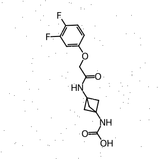 O=C(O)NC12CC(NC(=O)COc3ccc(F)c(F)c3)(C1)C2